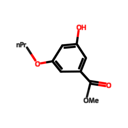 CCCOc1cc(O)cc(C(=O)OC)c1